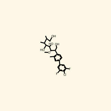 COC(C(CO)c1ccc(-c2cc(F)c(Cl)c(F)c2)cc1C)C(O)C(O)C(C)C(C)CO